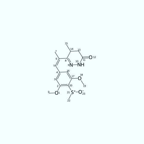 COc1cc(C=C(C)C2=NNC(=O)CC2C)cc(OC)c1[S+](C)[O-]